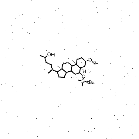 CC(O)CCC(C)C1CCC2C3C[C@H](O[Si](C)(C)C(C)(C)C)[C@@H]4C[C@H](OS)CC[C@]4(C)C3CC[C@]12C